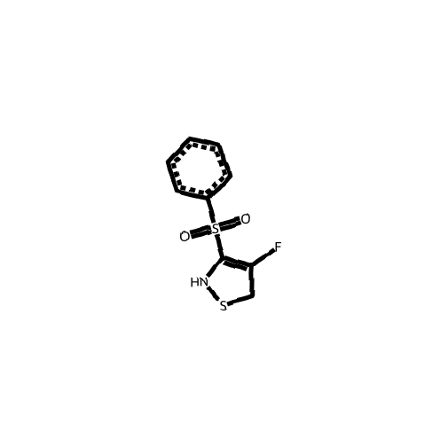 O=S(=O)(C1=C(F)CSN1)c1ccccc1